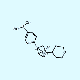 OB(O)c1ccc([C@@]23CN(C4CCOCC4)C4C2[C@H]43)cc1